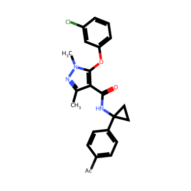 CC(=O)c1ccc(C2(NC(=O)c3c(C)nn(C)c3Oc3cccc(Cl)c3)CC2)cc1